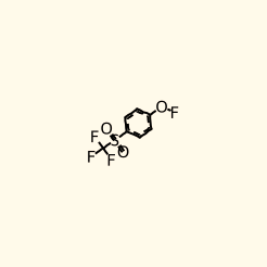 O=S(=O)(c1ccc(OF)cc1)C(F)(F)F